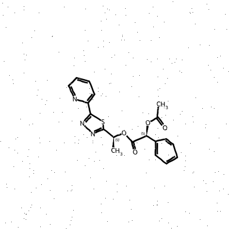 CC(=O)O[C@H](C(=O)O[C@@H](C)c1nnc(-c2ccccn2)s1)c1ccccc1